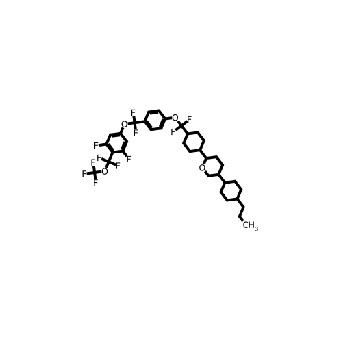 CCCC1CCC(C2CCC(C3CCC(C(F)(F)Oc4ccc(C(F)(F)Oc5cc(F)c(C(F)(F)OC(F)(F)F)c(F)c5)cc4)CC3)OC2)CC1